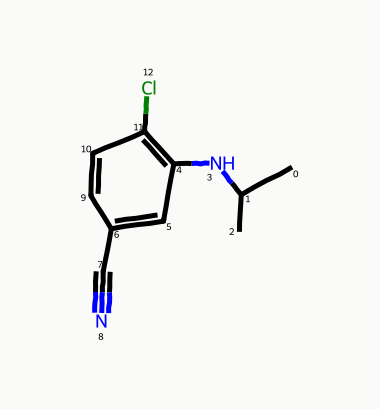 CC(C)Nc1cc(C#N)ccc1Cl